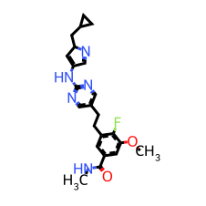 CNC(=O)c1cc(CCc2cnc(NC3=CC(CC4CC4)N=C3)nc2)c(F)c(OC)c1